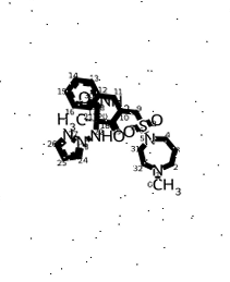 CN1CCCN(S(=O)(=O)CC(Cc2ccccc2)C(=O)[C@@](C)(Nn2cccn2)C(N)=O)CC1